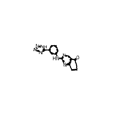 O=C1CCCc2nc(Nc3cccc(-c4nnn[nH]4)c3)ncc21